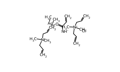 C=CC([NH-])=O.C=CC[N+](C)(C)CC=C.C=CC[N+](C)(C)CC=C.CC(C)=O.CC(C)=O.[Cl-]